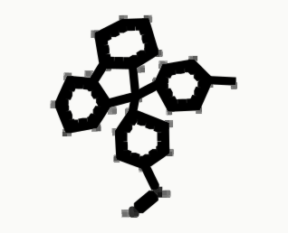 Cc1ccc(C2(c3ccc(N=O)cc3)c3ccccc3-c3ccccc32)cc1